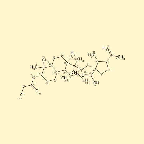 C=C(C)[C@@H]1CC[C@@](CCC(C)(C)[C@]2(C)CCC3C(C)(C)[C@@H](OC(=O)CCl)CC[C@]3(C)C2CCC)(C(=O)O)C1C